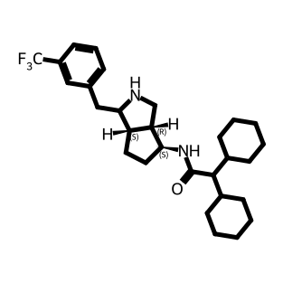 O=C(N[C@H]1CC[C@@H]2C(Cc3cccc(C(F)(F)F)c3)NC[C@H]12)C(C1CCCCC1)C1CCCCC1